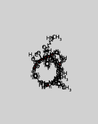 CNCCCCCC(=O)NC[C@H]1NC(=O)[C@H](C)NC(=O)CCC(=O)N2CCCCCCn3cc(c4cc(F)ccc43)C[C@@H]3NC(=O)[C@H](Cc4cccc(c4)CNC(=O)CO[C@H]4CCN(C3=O)C4C(=O)NC([C@@H](C)O)C(=O)N[C@@H](Cc3ccc(OC)cc3)C(=O)N3CCC[C@@]3(C)C(=O)NCCc3ccc(cc3)C2)NC1=O